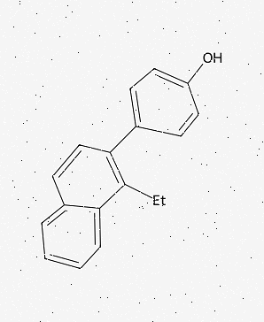 CCc1c(-c2ccc(O)cc2)ccc2ccccc12